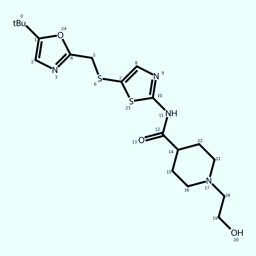 CC(C)(C)c1cnc(CSc2cnc(NC(=O)C3CCN(CCO)CC3)s2)o1